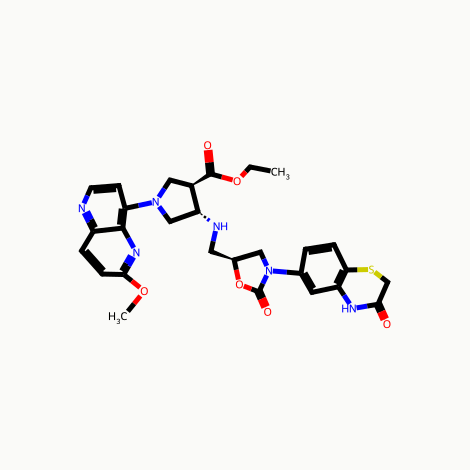 CCOC(=O)[C@@H]1CN(c2ccnc3ccc(OC)nc23)C[C@H]1NC[C@H]1CN(c2ccc3c(c2)NC(=O)CS3)C(=O)O1